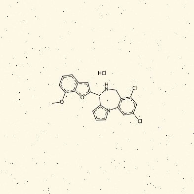 COc1cccc2cc(C3NCc4c(Cl)cc(Cl)cc4-n4cccc43)oc12.Cl